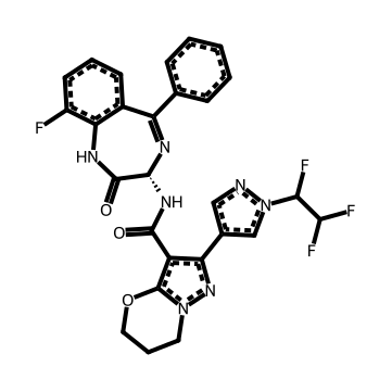 O=C(N[C@H]1N=C(c2ccccc2)c2cccc(F)c2NC1=O)c1c(-c2cnn(C(F)C(F)F)c2)nn2c1OCCC2